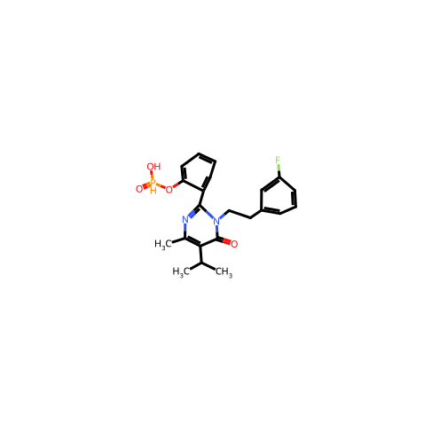 Cc1nc(-c2ccccc2O[PH](=O)O)n(CCc2cccc(F)c2)c(=O)c1C(C)C